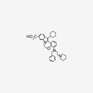 O=C(O)c1ccc2c(C3CCCCC3)c3n(c2c1)CCOc1c-3cccc1N(CCN1CCCCC1)Cc1ccccc1